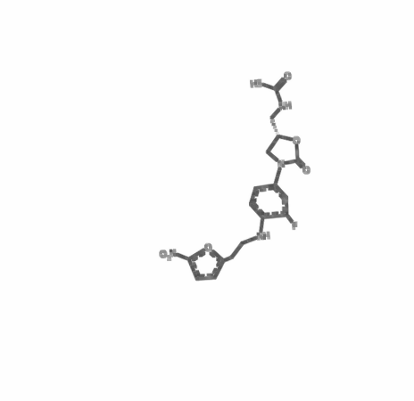 O=C(S)NC[C@H]1CN(c2ccc(NCCc3ccc([N+](=O)[O-])o3)c(F)c2)C(=O)O1